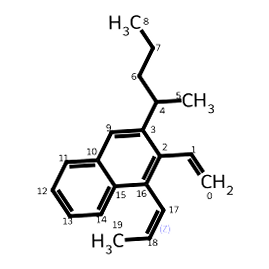 C=Cc1c(C(C)CCC)cc2ccccc2c1/C=C\C